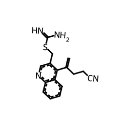 C=C(CCC#N)c1c(CSC(=N)N)cnc2ccccc12